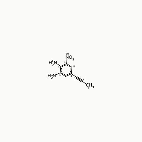 CC#Cc1cc(N)c(N)c([N+](=O)[O-])c1